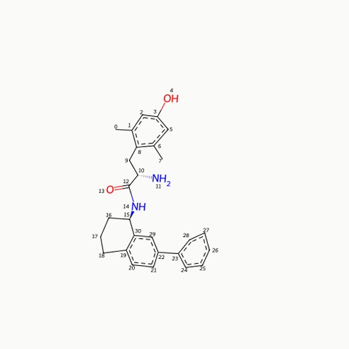 Cc1cc(O)cc(C)c1C[C@H](N)C(=O)N[C@@H]1CCCc2ccc(-c3ccccc3)cc21